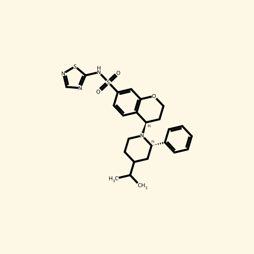 CC(C)C1CCN([C@@H]2CCOc3cc(S(=O)(=O)Nc4ncns4)ccc32)[C@H](c2ccccc2)C1